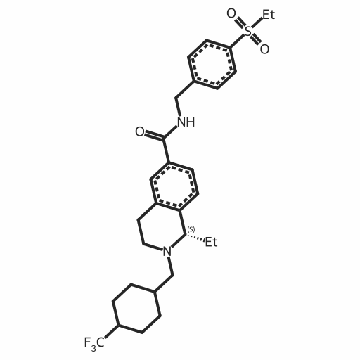 CC[C@H]1c2ccc(C(=O)NCc3ccc(S(=O)(=O)CC)cc3)cc2CCN1CC1CCC(C(F)(F)F)CC1